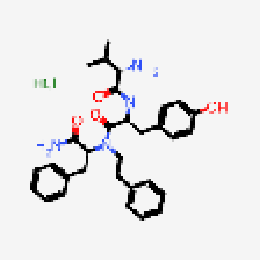 CC(C)[C@H](N)C(=O)N[C@@H](Cc1ccc(O)cc1)C(=O)N(CCc1ccccc1)[C@@H](Cc1ccccc1)C(N)=O.Cl